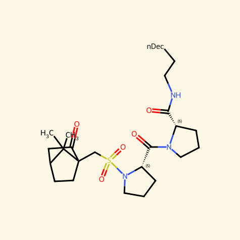 CCCCCCCCCCCCNC(=O)[C@@H]1CCCN1C(=O)[C@@H]1CCCN1S(=O)(=O)CC12CCC(CC1=O)C2(C)C